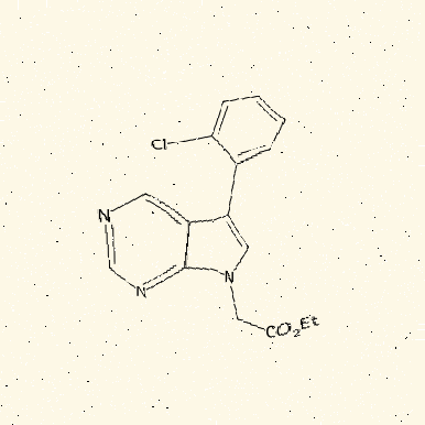 CCOC(=O)Cn1cc(-c2ccccc2Cl)c2cncnc21